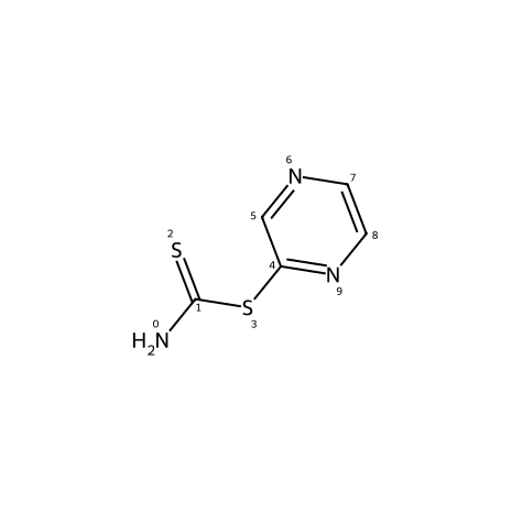 NC(=S)Sc1cnccn1